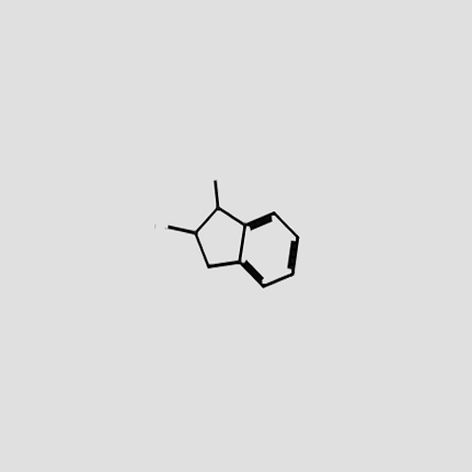 ClC1Cc2ccccc2C1I